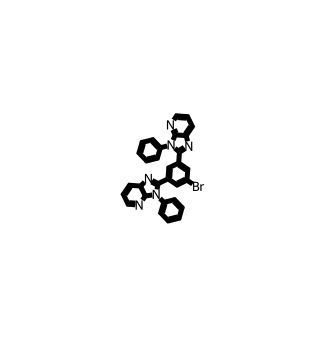 Brc1cc(C2=NC3C=CC=NC3N2c2ccccc2)cc(-c2nc3cccnc3n2-c2ccccc2)c1